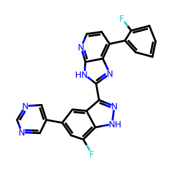 Fc1ccccc1-c1ccnc2[nH]c(-c3n[nH]c4c(F)cc(-c5cncnc5)cc34)nc12